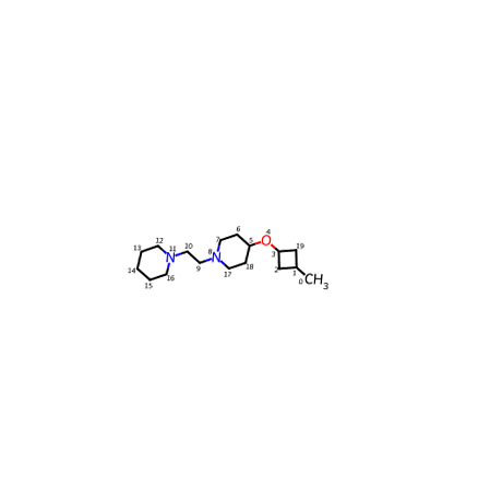 CC1CC(OC2CCN(CCN3CCCCC3)CC2)C1